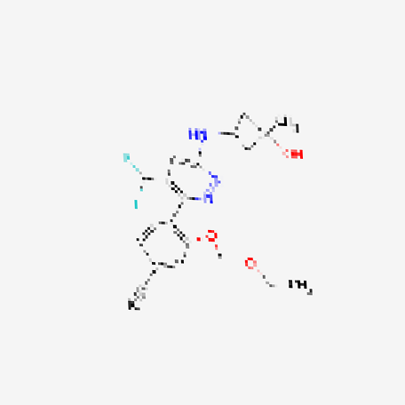 C#Cc1ccc(-c2nnc(NC3CC(C)(O)C3)cc2C(F)F)c(OCOCC)c1